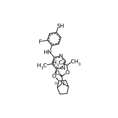 Cc1c(Nc2ccc(S)cc2F)ncnc1O[C@H]1CC2CCC1N2C(=O)OC(C)C